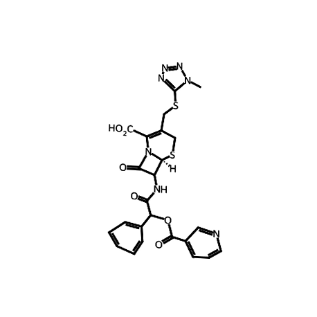 Cn1nnnc1SCC1=C(C(=O)O)N2C(=O)C(NC(=O)C(OC(=O)c3cccnc3)c3ccccc3)[C@@H]2SC1